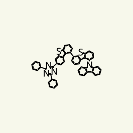 c1ccc(-c2nc(-c3ccccc3)nc(-c3ccc4c(c3)sc3cccc(-c5cccc6c5sc5cccc(-n7c8ccccc8c8ccccc87)c56)c34)n2)cc1